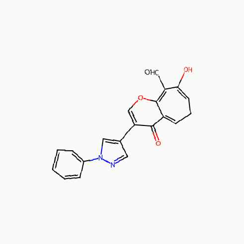 O=CC1=c2occ(-c3cnn(-c4ccccc4)c3)c(=O)c2=CCC=C1O